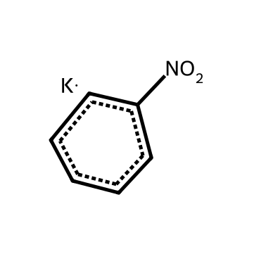 O=[N+]([O-])c1ccccc1.[K]